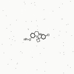 CCCOc1ccc2c(c1)[C@H](C1(c3ccc(Cl)cc3)CCC1)NCC2